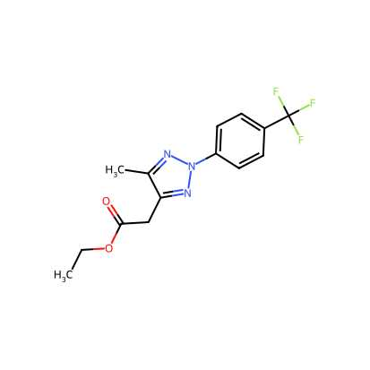 CCOC(=O)Cc1nn(-c2ccc(C(F)(F)F)cc2)nc1C